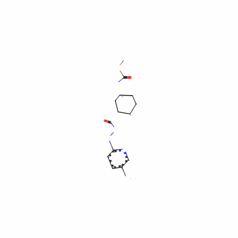 COc1ccc(NNC(=O)[C@H]2CCC[C@@H](NC(=O)OC(C)(C)C)C2)nc1